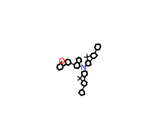 CC1(C)c2cc(-c3ccccc3)ccc2-c2ccc(N(c3ccc4c(c3)C(C)(C)c3cc(-c5ccccc5)ccc3-4)c3ccc(-c4ccc5oc6ccccc6c5c4)c4ccccc34)cc21